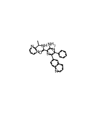 CC(NC(=O)c1nc(-c2ccc3ncccc3c2)c(-c2ccccc2)nc1N)c1ncccn1